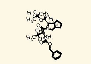 CC(C)(C)OC(=O)[C@@H]1[C@H]2CCCC2CN1C(=O)[C@@H](NC(=O)OCc1ccccc1)C(C)(C)C